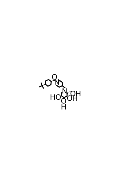 CC(C)(C)[C@H]1CC[C@@H](C(=O)N2CCC(CN3C[C@H](O)[C@@H](O)[C@H](O)[C@H]3CO)CC2)CC1